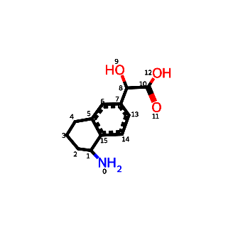 NC1CCCc2cc(C(O)C(=O)O)ccc21